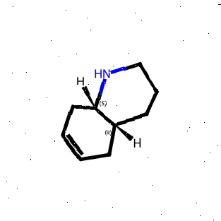 C1=CC[C@@H]2NCCC[C@@H]2C1